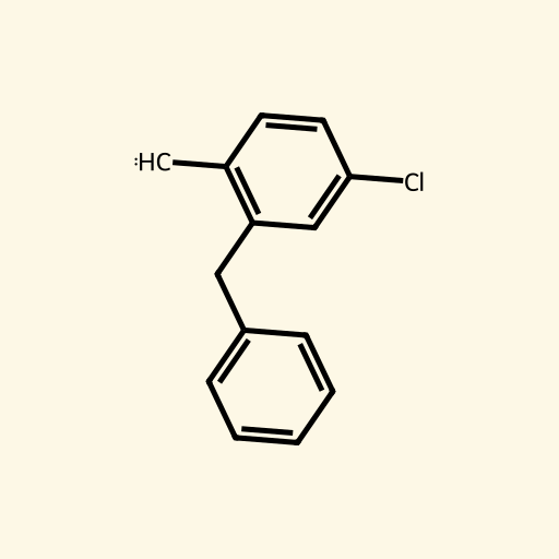 [CH]c1ccc(Cl)cc1Cc1ccccc1